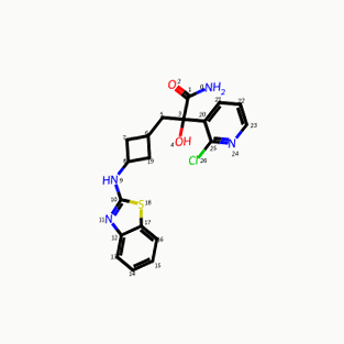 NC(=O)C(O)(CC1CC(Nc2nc3ccccc3s2)C1)c1cccnc1Cl